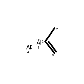 C=CC.[Al].[Al]